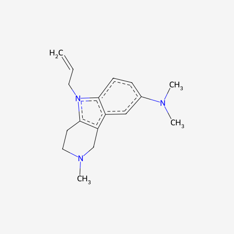 C=CCn1c2c(c3cc(N(C)C)ccc31)CN(C)CC2